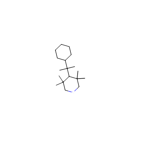 CC1(C)CNCC(C)(C)C1C(C)(C)C1CCCCC1